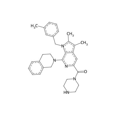 Cc1cccc(Cn2c(C)c(C)c3cc(C(=O)N4CCNCC4)nc(N4CCc5ccccc5C4)c32)c1